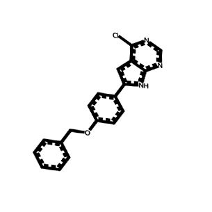 Clc1ncnc2[nH]c(-c3ccc(OCc4ccccc4)cc3)cc12